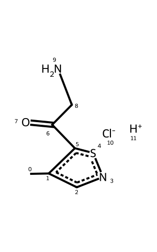 Cc1cnsc1C(=O)CN.[Cl-].[H+]